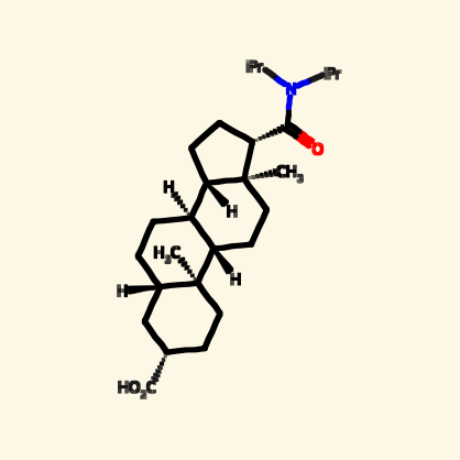 CC(C)N(C(=O)[C@H]1CC[C@H]2[C@@H]3CC[C@H]4C[C@@H](C(=O)O)CC[C@]4(C)[C@H]3CC[C@]12C)C(C)C